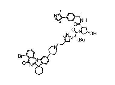 Cc1ncsc1-c1ccc([C@H](C)NC(=O)[C@@H]2C[C@@H](O)CN2C(=O)[C@@H](n2cc(CCN3CCC(c4ccc5c(c4)-n4c(nc(=O)c6c(Br)cccc64)C54CCCCC4)CC3)nn2)C(C)(C)C)cc1